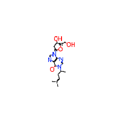 CC(C)=CCC(C)n1cnc2c(ncn2[C@H]2CC(O)[C@@H](CO)O2)c1=O